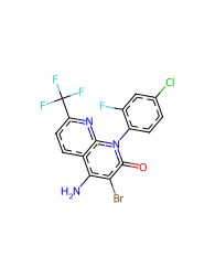 Nc1c(Br)c(=O)n(-c2ccc(Cl)cc2F)c2nc(C(F)(F)F)ccc12